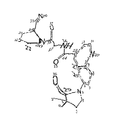 CC1(C)CCN(c2ccc3nccc(C(=O)NCC(=O)N4CSCC4C#N)c3c2)C1=O